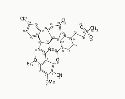 CCOc1cc(OC)c(C#N)cc1C1=N[C@@H](c2ccc(Cl)cc2)[C@@H](C2C=CC(Cl)=CC2)N1C(=O)N1CCN(CCS(C)(=O)=O)CC1